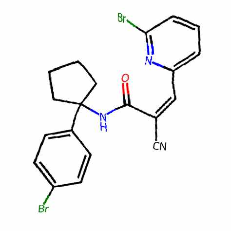 N#CC(=Cc1cccc(Br)n1)C(=O)NC1(c2ccc(Br)cc2)CCCC1